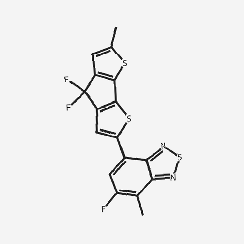 Cc1cc2c(s1)-c1sc(-c3cc(F)c(C)c4nsnc34)cc1C2(F)F